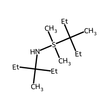 CCC(C)(CC)NS(C)(C)C(C)(CC)CC